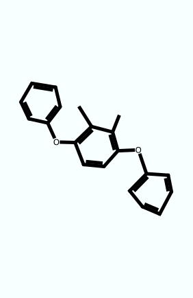 Cc1c(Oc2ccccc2)ccc(Oc2ccccc2)c1C